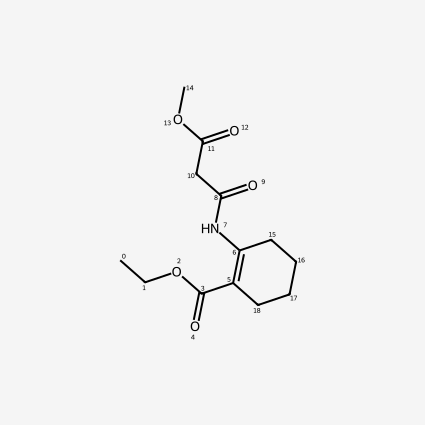 CCOC(=O)C1=C(NC(=O)CC(=O)OC)CCCC1